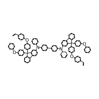 C=Cc1ccc(Oc2ccc(C3(c4ccc(Oc5ccccc5)cc4)c4ccccc4-c4ccc(N(c5ccccc5)c5ccc(-c6ccc(N(c7ccc8c(c7)C(c7ccc(Oc9ccccc9)cc7)(c7ccc(Oc9ccc(C=C)cc9)cc7)c7ccccc7-8)C7C=CC=CC7)cc6)cc5)cc43)cc2)cc1